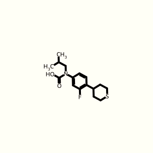 CC(C)CN(C(=O)O)c1ccc(C2CCSCC2)c(F)c1